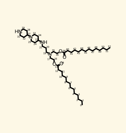 CCCCCCCCCCCCCC(=O)OCCN(CCCNC1CCN(C2CCNCC2)CC1)CCOC(=O)CCCCCCCCCCCCC